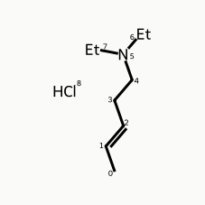 CC=CCCN(CC)CC.Cl